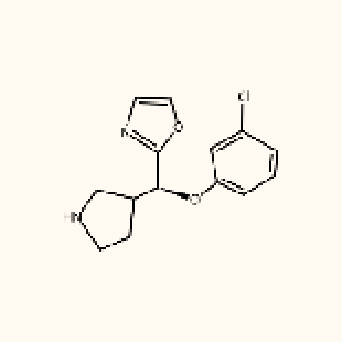 Clc1cccc(O[C@H](c2ncco2)C2CCNC2)c1